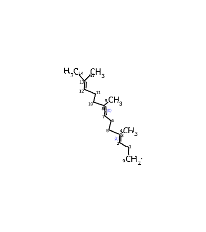 [CH2]C/C=C(\C)CC/C=C(\C)CCC=C(C)C